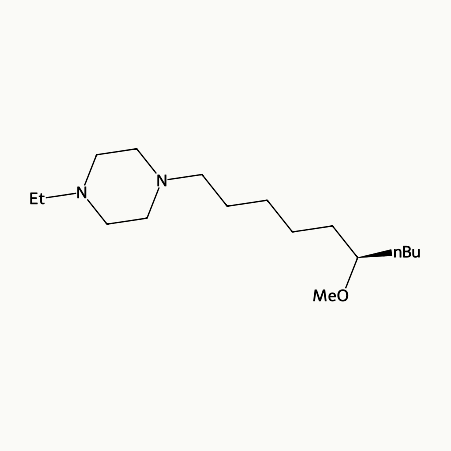 CCCC[C@H](CCCCCN1CCN(CC)CC1)OC